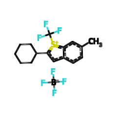 Cc1ccc2cc(C3CCCCC3)[s+](C(F)(F)F)c2c1.F[B-](F)(F)F